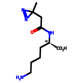 CC1(CC(=O)N[C@@H](CCCCN)C(=O)O)N=N1